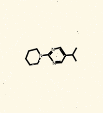 CC(C)c1cnc(N2CCCCC2)nc1